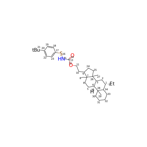 CC[C@H]1CC2[C@H](CCC3(C)C(CCOC(=O)NSc4ccc(C(C)(C)C)cc4)CCC23C)C2(C)CCCCC12